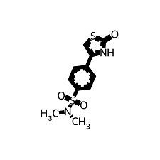 CN(C)S(=O)(=O)c1ccc(-c2csc(=O)[nH]2)cc1